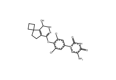 Nc1nn(-c2cc(Cl)c(OC3=NNC(O)C4=C3CCC43CCC3)c(Cl)c2)c(=O)[nH]c1=O